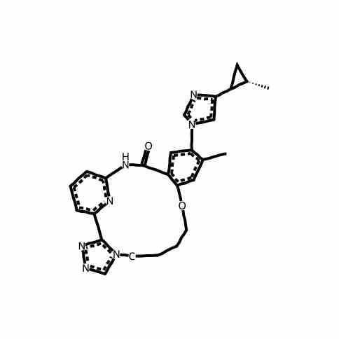 Cc1cc2c(cc1-n1cnc(C3C[C@@H]3C)c1)C(=O)Nc1cccc(n1)-c1nncn1CCCCO2